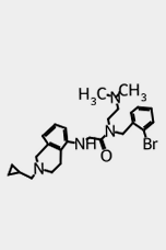 CN(C)CCN(Cc1ccccc1Br)C(=O)CNc1cccc2c1CCN(CC1CC1)C2